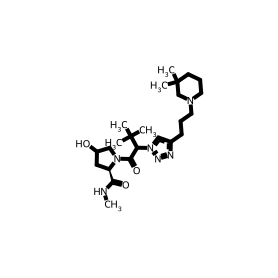 CNC(=O)[C@H]1CC(O)CN1C(=O)C(n1cc(CCCN2CCCC(C)(C)C2)nn1)C(C)(C)C